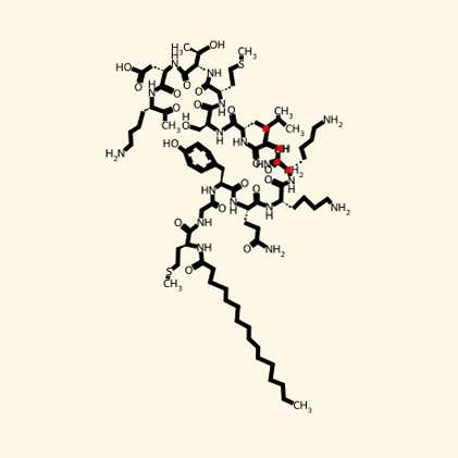 CCCCCCCCCCCCCCCC(=O)N[C@@H](CCSC)C(=O)NCC(=O)N[C@@H](Cc1ccc(O)cc1)C(=O)N[C@@H](CCC(N)=O)C(=O)N[C@@H](CCCCN)C(=O)N[C@@H](CCCCN)C(=O)N[C@@H](CC(C)C)C(=O)N[C@@H](CCCNC(=N)N)C(=O)N[C@@H](CO)C(=O)N[C@@H](CCSC)C(=O)N[C@H](C(=O)N[C@@H](CC(=O)O)C(=O)N[C@@H](CCCCN)C(C)=O)[C@@H](C)O